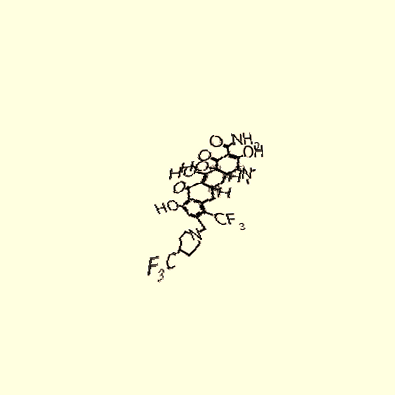 CN(C)[C@@H]1C(O)=C(C(N)=O)C(=O)[C@@]2(O)C(O)=C3C(=O)c4c(O)cc(CN5CCC(C(F)(F)F)CC5)c(C(F)(F)F)c4C[C@H]3C[C@@H]12